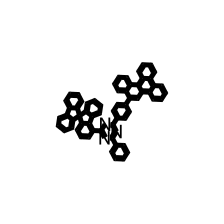 c1ccc(-c2nc(-c3ccc(-c4cc5c6ccccc6c6ccccc6c5c5ccccc45)cc3)nc(-c3cccc4c3-c3ccccc3C43c4ccccc4-c4ccccc43)n2)cc1